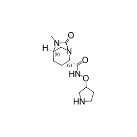 CN1C(=O)N2C[C@H]1CC[C@H]2C(=O)NOC1CCNC1